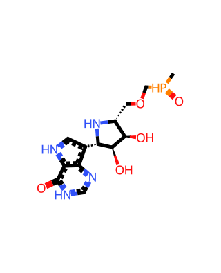 C[PH](=O)COC[C@H]1N[C@@H](c2c[nH]c3c(=O)[nH]cnc23)[C@H](O)[C@@H]1O